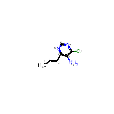 C/C=C/c1ncnc(Cl)c1N